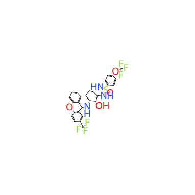 N=S(=O)(NC1CCCC(NC2c3ccccc3Oc3ccc(C(F)(F)F)cc32)C1O)c1ccc(OC(F)(F)F)cc1